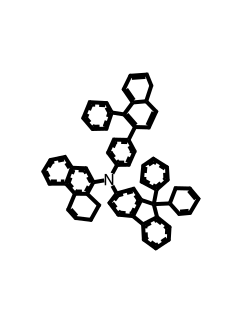 C1=CCC2C=CC(c3ccc(N(c4ccc5c(c4)C(c4ccccc4)(C4C=CC=CC4)c4ccccc4-5)c4cc5ccccc5c5c4CCC=C5)cc3)=C(c3ccccc3)C2=C1